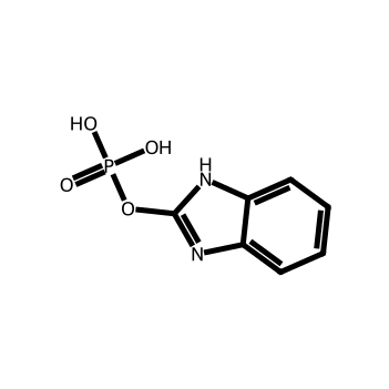 O=P(O)(O)Oc1nc2ccccc2[nH]1